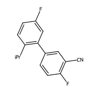 CC(C)c1ccc(F)cc1-c1ccc(F)c(C#N)c1